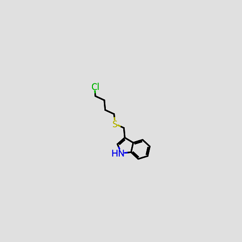 ClCCCCSCc1c[nH]c2ccccc12